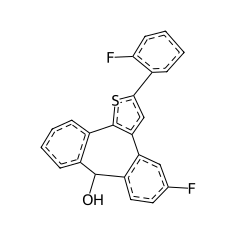 OC1c2ccc(F)cc2-c2cc(-c3ccccc3F)sc2-c2ccccc21